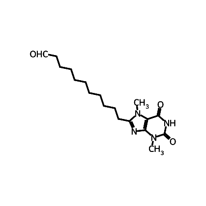 Cn1c(CCCCCCCCCCC=O)nc2c1c(=O)[nH]c(=O)n2C